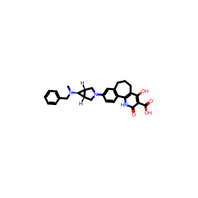 CN(Cc1ccccc1)[C@H]1[C@@H]2CN(c3ccc4c(c3)CCCc3c-4[nH]c(=O)c(C(=O)O)c3O)C[C@@H]21